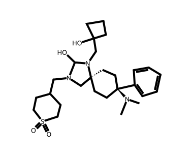 CN(C)[C@]1(c2ccccc2)CC[C@]2(CC1)CN(CC1CCS(=O)(=O)CC1)C(O)N2CC1(O)CCC1